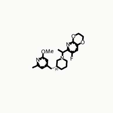 COc1cc(C[C@H]2CCCN(C(C)c3nc4c(cc3F)OCCO4)C2)cc(C)n1